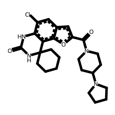 O=C1Nc2c(Cl)cc3cc(C(=O)N4CCC(N5CCCC5)CC4)oc3c2C2(CCCCC2)N1